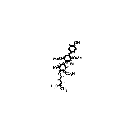 COc1cc(-c2ccc(O)cc2)c(OC)c(O)c1-c1cc(O)c(OCCC=C(C)C)c(C(=O)O)c1